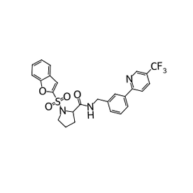 O=C(NCc1cccc(-c2ccc(C(F)(F)F)cn2)c1)C1CCCN1S(=O)(=O)c1cc2ccccc2o1